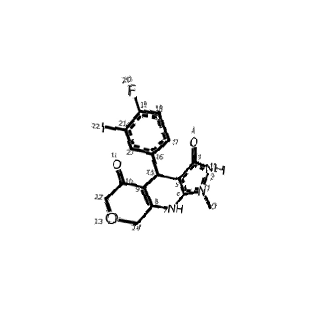 Cn1[nH]c(=O)c2c1NC1=C(C(=O)COC1)C2c1ccc(F)c(I)c1